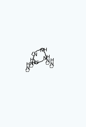 C1=Cc2cc3ccc(cc4nc(cc5ccc(cc1n2)[nH]5)C=C4)[nH]3.C1CCNC1.C1CCNC1.C1CCNC1.C1CCNC1